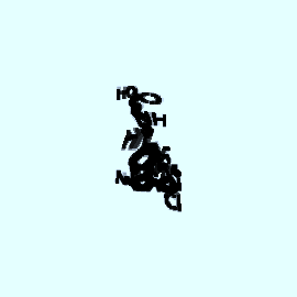 CC(C)N1C(=O)N(c2c(F)cc(NCCNCCCC(=O)O)cc2F)c2cc(C#N)ccc2-c2cc(Cl)cnc21